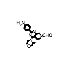 C[C@H]1COCCN1c1nc(-c2ccc(N)cc2)nc2c1CCN(C=O)C2